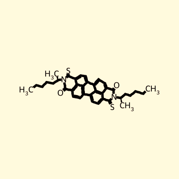 CCCCC[C@@H](C)N1C(=O)c2ccc3c4ccc5c6c(ccc(c7ccc(c2c37)C1=S)c64)C(=O)N([C@H](C)CCCCC)C5=S